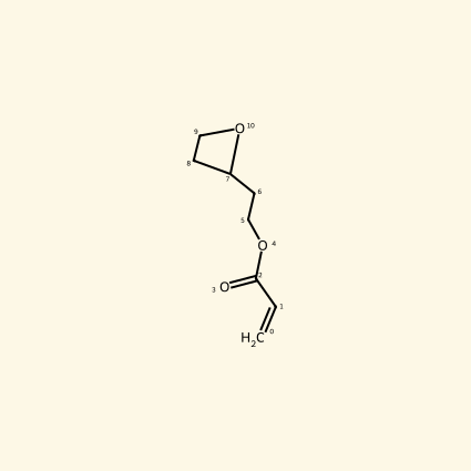 C=CC(=O)OCCC1CCO1